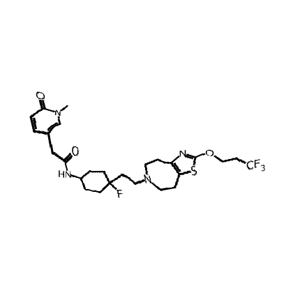 Cn1cc(CC(=O)NC2CCC(F)(CCN3CCc4nc(OCCC(F)(F)F)sc4CC3)CC2)ccc1=O